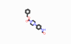 O=CNc1ccc(N2CCN(C(=O)OCc3ccccc3)CC2)cc1